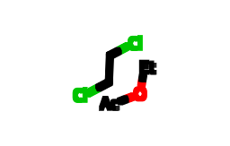 CCOC(C)=O.ClCCCl